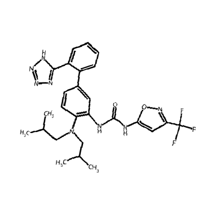 CC(C)CN(CC(C)C)c1ccc(-c2ccccc2-c2nnn[nH]2)cc1NC(=O)Nc1cc(C(F)(F)F)no1